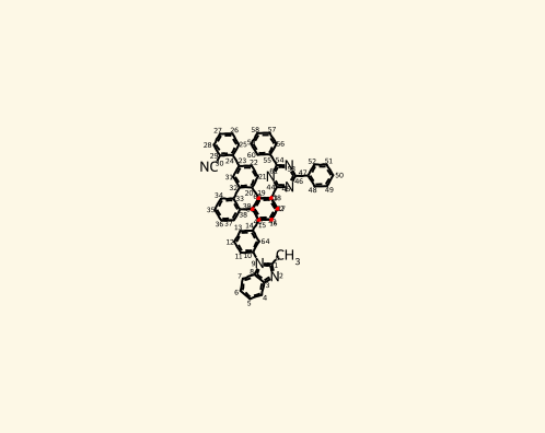 Cc1nc2ccccc2n1-c1cccc(-c2cccc(-c3ccc(-c4ccccc4C#N)cc3-c3ccccc3-c3cccc(-c4nc(-c5ccccc5)nc(-c5ccccc5)n4)c3)c2)c1